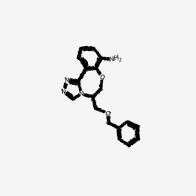 Nc1cccc2c1OCC(COCc1ccccc1)n1cnnc1-2